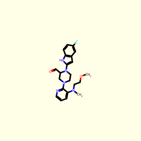 COCCN(C)c1cccnc1N1CCN(c2cc3cc(F)ccc3[nH]2)C(C=O)C1